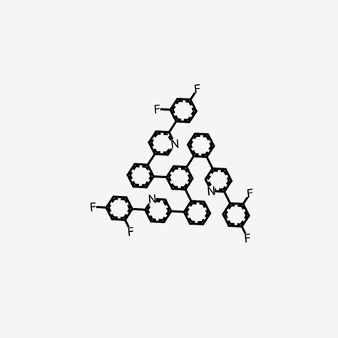 Fc1ccc(-c2ccc(-c3ccccc3-c3cc(-c4ccccc4-c4ccc(-c5ccc(F)cc5F)nc4)cc(-c4ccccc4-c4ccc(-c5ccc(F)cc5F)nc4)c3)cn2)c(F)c1